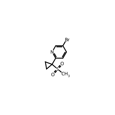 CS(=O)(=O)C1(c2ccc(Br)cn2)CC1